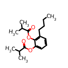 CCCCc1cccc(OC(=O)C(C)C)c1OC(=O)C(C)C